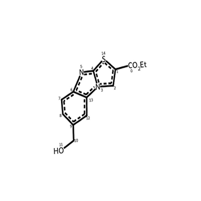 CCOC(=O)c1cn2c(nc3ccc(CO)cc32)s1